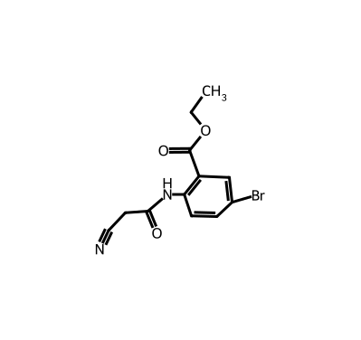 CCOC(=O)c1cc(Br)ccc1NC(=O)CC#N